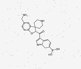 NCc1ccc2c(c1)C1(CCNCC1)C(C(=O)C1=CN=C3CC(B(O)O)=CC=C13)O2